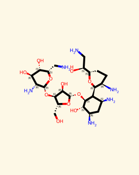 NC[C@@H]1O[C@H](O[C@H]2[C@@H](O)[C@H](O[C@H]3C([C@H]4O[C@H]([C@@H](O)CN)CC[C@H]4N)[C@@H](N)C[C@@H](N)[C@@H]3O)O[C@@H]2CO)[C@H](N)[C@@H](O)[C@@H]1O